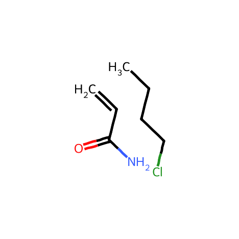 C=CC(N)=O.CCCCCl